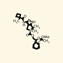 COC(C)(C)OC(COC(=O)N1Cc2c(NC(=O)C3(C)CCC3)n[nH]c2C1(C)C)c1ccccc1